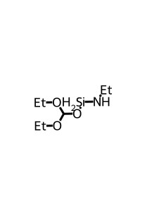 CCN[SiH2]OC(OCC)OCC